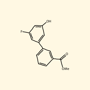 COC(=O)c1cccc(-c2cc(O)cc(F)c2)c1